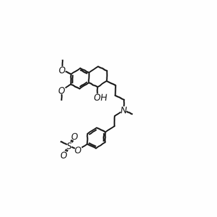 COc1cc2c(cc1OC)C(O)C(CCCN(C)CCc1ccc(OS(C)(=O)=O)cc1)CC2